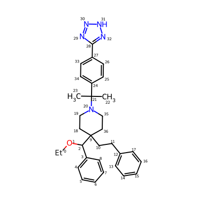 CCOC(c1ccccc1)C1(CCc2ccccc2)CCN(C(C)(C)c2ccc(-c3nn[nH]n3)cc2)CC1